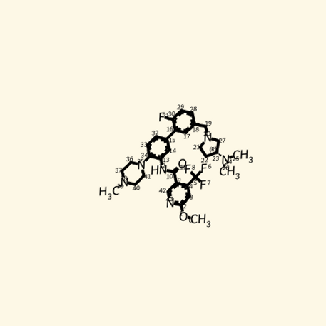 COc1cc(C(F)(F)F)c(C(=O)Nc2cc(-c3cc(CN4CC[C@@H](N(C)C)C4)ccc3F)ccc2N2CCN(C)CC2)cn1